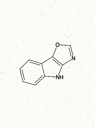 c1ccc2c(c1)[nH]c1ncoc12